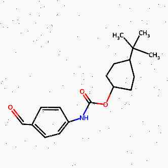 CC(C)(C)C1CCC(OC(=O)Nc2ccc(C=O)cc2)CC1